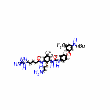 CCCCNc1cc(Oc2ccc(NC(=O)Nc3cc(C(F)(F)F)cc(NC(=O)CCCCNC(=N)N)c3SCCN)cc2)cc(C(F)(F)F)c1